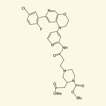 COC(=O)CC1CN(CCC(=O)Nc2cc(N3CCOc4cnc(-c5cc(Cl)ccc5F)cc43)ccn2)CCN1C(=O)OC(C)(C)C